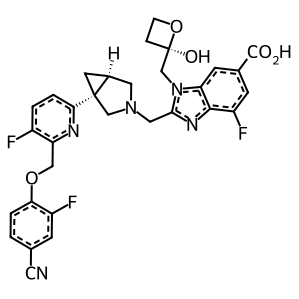 N#Cc1ccc(OCc2nc([C@]34C[C@H]3CN(Cc3nc5c(F)cc(C(=O)O)cc5n3C[C@@]3(O)CCO3)C4)ccc2F)c(F)c1